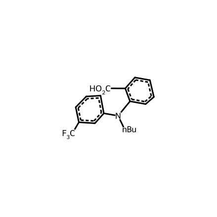 CCCCN(c1cccc(C(F)(F)F)c1)c1ccccc1C(=O)O